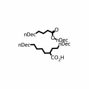 CCCCCCCCCCCCCC(=O)OCCCCCCCCCC.CCCCCCCCCCCCCCC(CCCCCCCCCCCC)C(=O)O